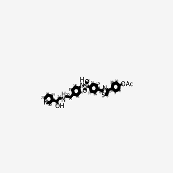 CC(=O)Oc1ccc(-c2csc(-c3ccc(S(=O)(=O)Nc4ccc(CCNCC(O)c5cccnc5)cc4)cc3)n2)cc1